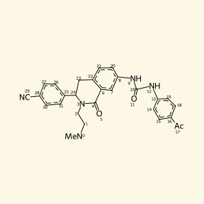 CNCCN1C(=O)c2cc(NC(=O)Nc3ccc(C(C)=O)cc3)ccc2CC1c1ccc(C#N)cc1